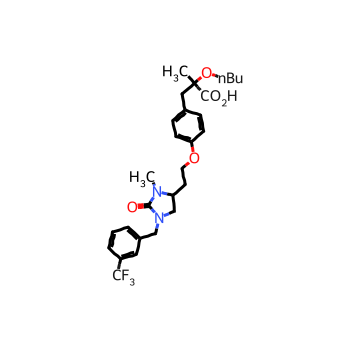 CCCCOC(C)(Cc1ccc(OCCC2CN(Cc3cccc(C(F)(F)F)c3)C(=O)N2C)cc1)C(=O)O